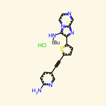 CC(C)(C)Nc1c(-c2ccc(C#Cc3ccc(N)nc3)s2)nc2cnccn12.Cl